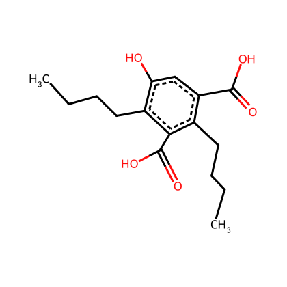 CCCCc1c(O)cc(C(=O)O)c(CCCC)c1C(=O)O